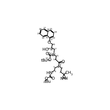 CC1(CCN(CCNC(=O)OC(C)(C)C)C(=O)CCN(C[C@H](O)COc2cccc3ccccc23)C(=O)OC(C)(C)C)N=N1